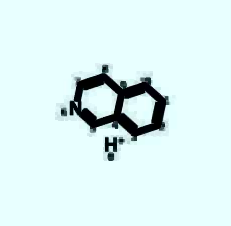 [H+].c1ccc2cnccc2c1